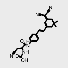 CC1(C)CC(/C=C/c2ccc(NC(=O)C(CC#N)NC(=O)O)cc2)=CC(=C(C#N)C#N)C1